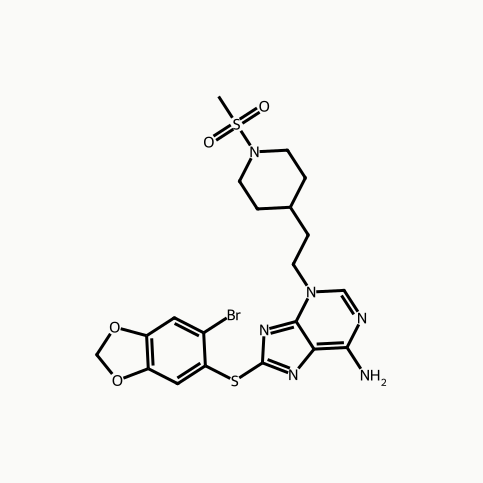 CS(=O)(=O)N1CCC(CCn2cnc(N)c3nc(Sc4cc5c(cc4Br)OCO5)nc2-3)CC1